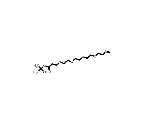 CC(C)(C)OC(=O)CCOCCOCCOCCOCCN=S